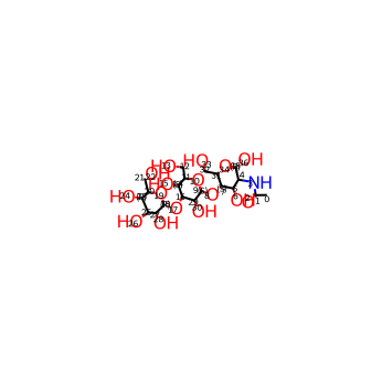 CC(=O)NC1C(O)[C@H](O[C@@H]2OC(CO)[C@H](O)C(O[C@H]3OC(CO)[C@H](O)C(O)C3O)C2O)C(CO)O[C@H]1O